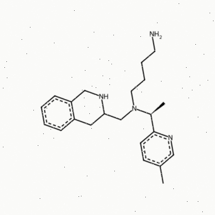 Cc1ccc([C@H](C)N(CCCCN)CC2Cc3ccccc3CN2)nc1